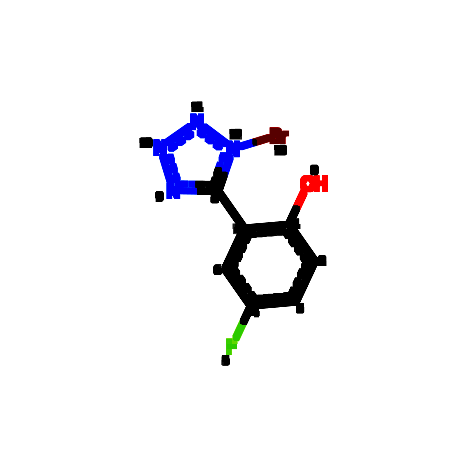 Oc1ccc(F)cc1-c1nnnn1Br